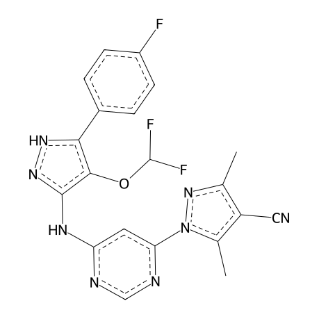 Cc1nn(-c2cc(Nc3n[nH]c(-c4ccc(F)cc4)c3OC(F)F)ncn2)c(C)c1C#N